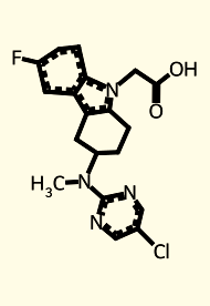 CN(c1ncc(Cl)cn1)C1CCc2c(c3cc(F)ccc3n2CC(=O)O)C1